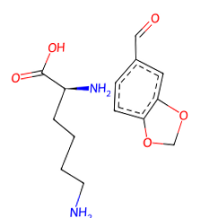 NCCCC[C@H](N)C(=O)O.O=Cc1ccc2c(c1)OCO2